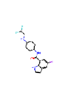 O=C(NC1CCC(NCC(F)F)CC1)c1cc(I)cc2cc[nH]c12